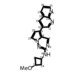 CO[C@H]1C[C@@H](Nc2ncc3c(-c4cnc5ncccc5c4)ccn3n2)C1